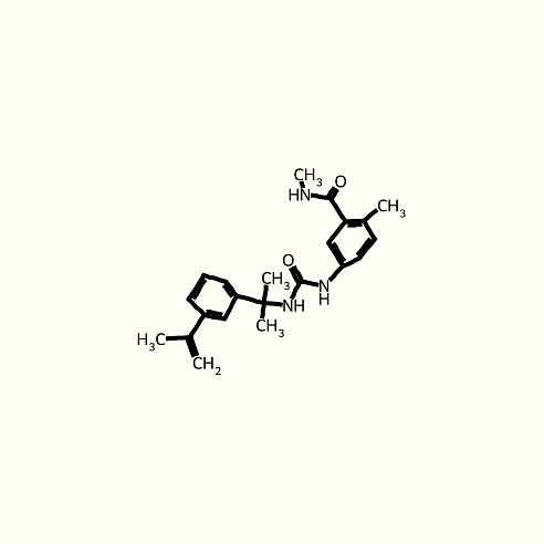 C=C(C)c1cccc(C(C)(C)NC(=O)Nc2ccc(C)c(C(=O)NC)c2)c1